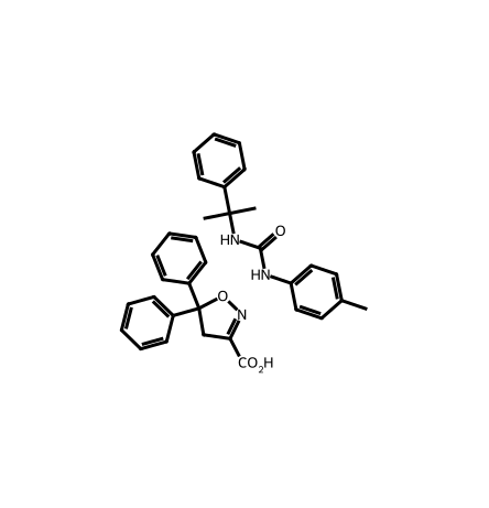 Cc1ccc(NC(=O)NC(C)(C)c2ccccc2)cc1.O=C(O)C1=NOC(c2ccccc2)(c2ccccc2)C1